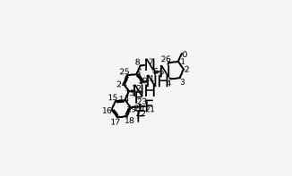 CC1CCCN(C2=N[CH]C3=C(N2)NC(c2ccccc2C(F)(F)F)C=C3)C1